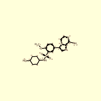 COc1ccc(-c2cnc3c(N)nccn23)cc1S(=O)(=O)NC1CCC(O)CC1